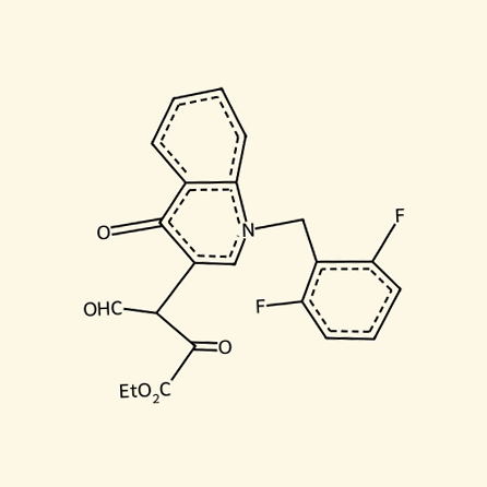 CCOC(=O)C(=O)C(C=O)c1cn(Cc2c(F)cccc2F)c2ccccc2c1=O